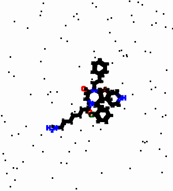 NCCCCCCC(=O)N1CC(=O)N(CCc2ccccc2)c2sc3c(c2C1c1ccccc1Cl)CCNC3